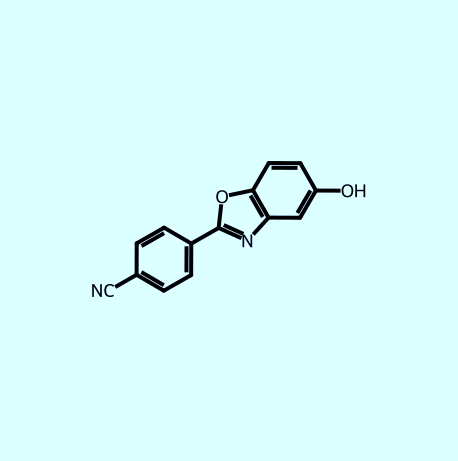 N#Cc1ccc(-c2nc3cc(O)ccc3o2)cc1